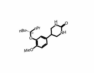 CCCC[C@H](CCC)Oc1cc(C2CNC(=O)NC2)ccc1OC